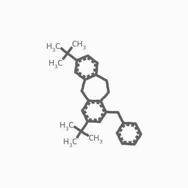 CC(C)(C)c1ccc2c(c1)Cc1cc(C(C)(C)C)cc(Cc3ccccc3)c1CC2